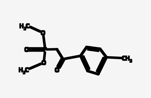 COP(=O)(CC(=O)c1ccc(C)cc1)OC